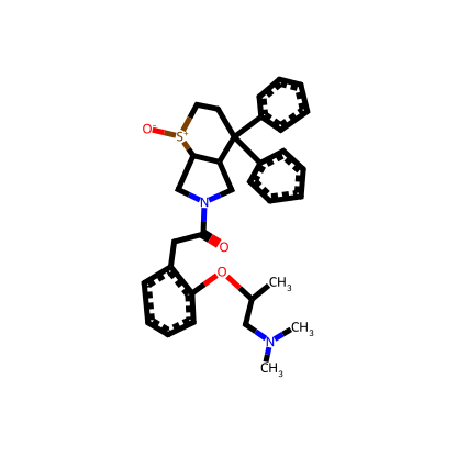 CC(CN(C)C)Oc1ccccc1CC(=O)N1CC2C(C1)C(c1ccccc1)(c1ccccc1)CC[S+]2[O-]